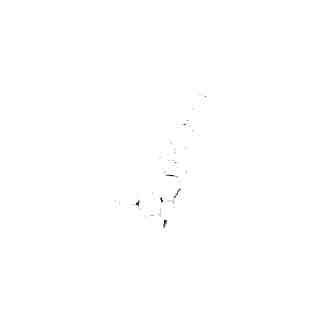 CC(C)(C)OC(=O)N1CCC(c2nc(/C=C3/SC(=S)N(CC(=O)O)C3=O)cs2)CC1